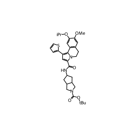 COc1cc2c(cc1OC(C)C)-c1c(-c3cccs3)cc(C(=O)NC3CC4CN(C(=O)OC(C)(C)C)CC4C3)n1CC2